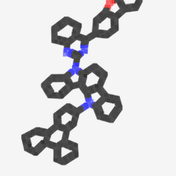 c1ccc2c(-c3ccc4c(c3)oc3ccccc34)nc(-n3c4ccccc4c4c3ccc3c5ccccc5n(-c5ccc6c7ccccc7c7ccccc7c6c5)c34)nc2c1